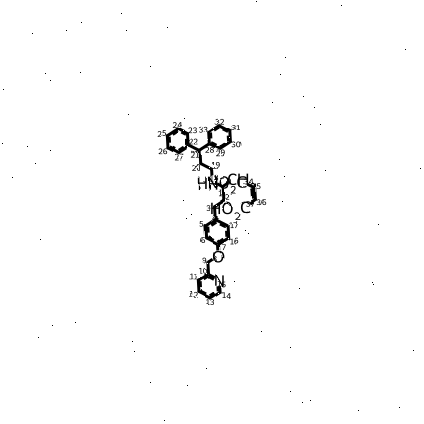 CC(CCc1ccc(OCc2ccccn2)cc1)NCCC(c1ccccc1)c1ccccc1.O=C(O)/C=C\C(=O)O